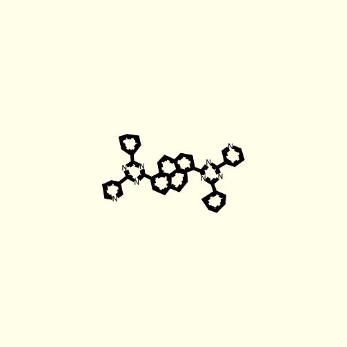 c1ccc(-c2nc(-c3cccnc3)nc(-c3ccc4ccc5c(-c6nc(-c7ccccc7)nc(-c7cccnc7)n6)ccc6ccc3c4c65)n2)cc1